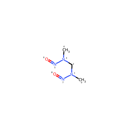 CN(CN(C)N=O)N=O